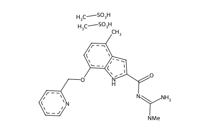 CNC(N)=NC(=O)c1cc2c(C)ccc(OCc3ccccn3)c2[nH]1.CS(=O)(=O)O.CS(=O)(=O)O